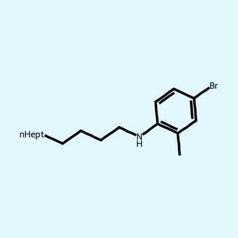 CCCCCCCCCCCNc1ccc(Br)cc1C